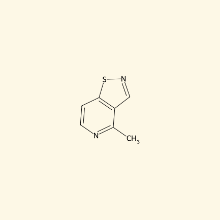 Cc1nccc2sncc12